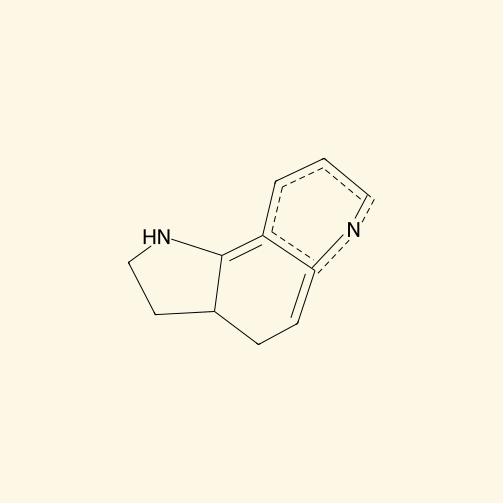 C1=c2ncccc2=C2NCCC2C1